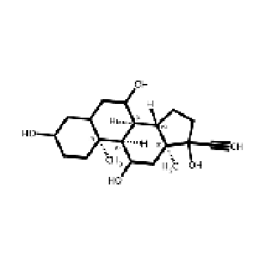 C#CC1(O)CC[C@H]2[C@@H]3C(O)CC4CC(O)CC[C@]4(C)[C@@H]3C(O)C[C@@]21C